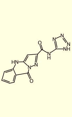 O=C(Nc1nnn[nH]1)c1cc2[nH]c3ccccc3c(=O)n2n1